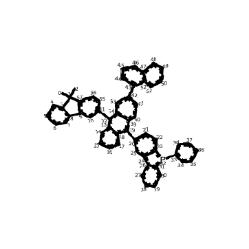 CC1(C)c2ccccc2-c2cc(-c3c4ccccc4c(-c4ccc5c(c4)c4ccccc4p5-c4ccccc4)c4ccc(-c5cccc6ccccc56)cc34)ccc21